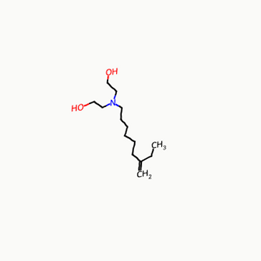 C=C(CC)CCCCCCN(CCO)CCO